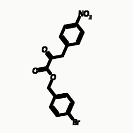 O=C(Cc1ccc([N+](=O)[O-])cc1)C(=O)OCc1ccc(Br)cc1